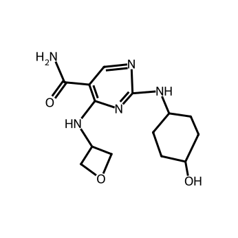 NC(=O)c1cnc(NC2CCC(O)CC2)nc1NC1COC1